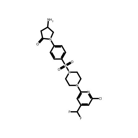 NC1CC(=O)N(c2ccc(S(=O)(=O)N3CCN(c4cc(C(F)F)cc(Cl)n4)CC3)cc2)C1